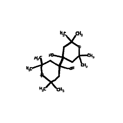 CC1(C)CC(O)(C2(O)CC(C)(C)[N]C(C)(C)C2)CC(C)(C)[N]1